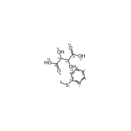 CSc1ccccn1.O=C(O)C(O)C(O)C(=O)O